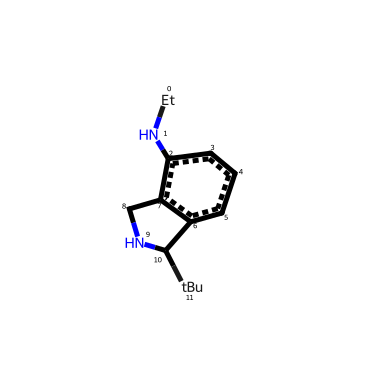 CCNc1cccc2c1CNC2C(C)(C)C